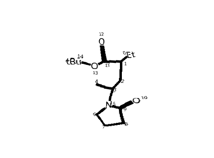 CCC(CC(C)N1CCCC1=O)C(=O)OC(C)(C)C